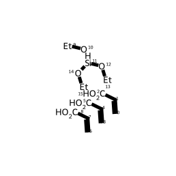 C=CC(=O)O.C=CC(=O)O.C=CC(=O)O.CCO[SiH](OCC)OCC